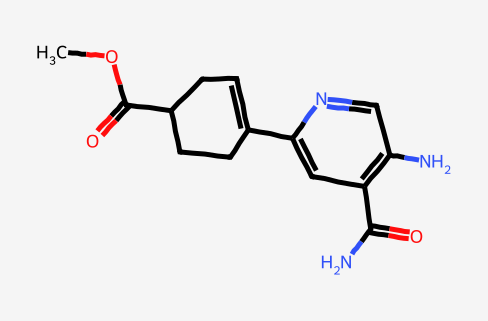 COC(=O)C1CC=C(c2cc(C(N)=O)c(N)cn2)CC1